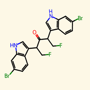 O=C(C(CF)c1c[nH]c2cc(Br)ccc12)C(CF)c1c[nH]c2cc(Br)ccc12